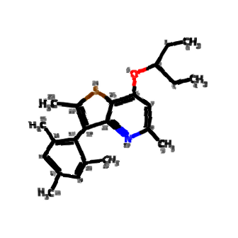 CCC(CC)Oc1cc(C)nc2c(-c3c(C)cc(C)cc3C)c(C)sc12